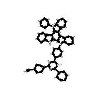 N#Cc1ccc(-c2nc(-c3ccccc3)nc(-c3ccc(-n4c5ccccc5c5c6c7ccccc7n(-c7ccccc7)c6c6c7ccccc7oc6c54)cc3)n2)cc1